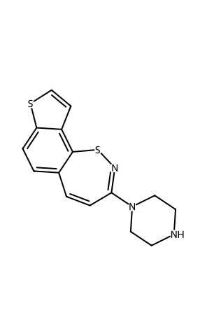 C1=Cc2ccc3sccc3c2SN=C1N1CCNCC1